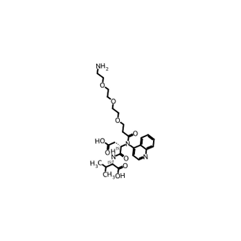 CC(C)[C@H](NC(=O)[C@H](CC(=O)O)N(C(=O)CCOCCOCCOCCN)c1ccnc2ccccc12)C(=O)O